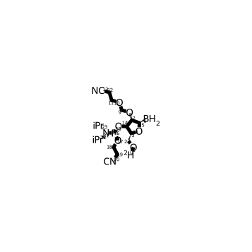 [2H]OC[C@H]1O[C@@H](B)[C@@H](OCOCCC#N)C1OP(OCC[N+]#[C-])N(C(C)C)C(C)C